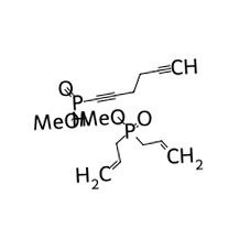 C#CCCC#C[PH](=O)OC.C=CCP(=O)(CC=C)OC